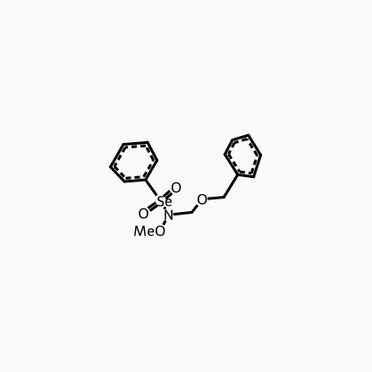 CON(COCc1ccccc1)[Se](=O)(=O)c1ccccc1